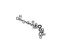 O=CNCCOCCOCCCNCC(=O)Nc1cccc2c1CN(C1CCC(=O)NC1=O)C2=O